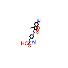 CCc1c(/C=C/c2ccc(/C=C(\C#N)C(=O)O)cc2)c(=O)oc2cc(N(C)C)ccc12